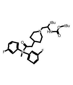 CC(C)(C)OC(=O)NC(CN1CCC(CC(=O)[N+](C)(c2cccc(F)c2)c2cccc(F)c2)CC1)C(C)(C)C